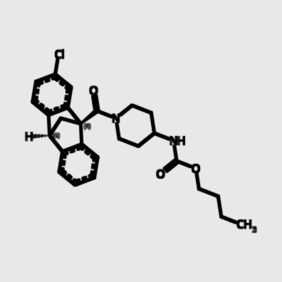 CCCCOC(=O)NC1CCN(C(=O)[C@]23C[C@@H](c4ccccc42)c2ccc(Cl)cc23)CC1